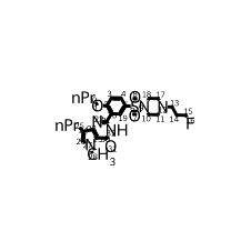 CCCOc1ccc(S(=O)(=O)N2CCN(CCCF)CC2)cc1-c1nc2c(CCC)cn(C)c2c(=O)[nH]1